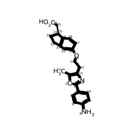 Cc1oc(-c2ccc(N)cc2)nc1CCOc1ccc2c(c1)CC[C@H]2CC(=O)O